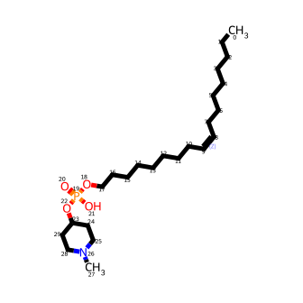 CCCCCCCC/C=C\CCCCCCCCOP(=O)(O)OC1CCN(C)CC1